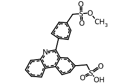 COS(=O)(=O)Cc1ccc(-c2nc3ccccc3c3ccc(CS(=O)(=O)O)cc23)cc1